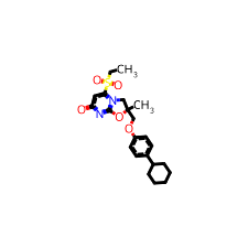 CCS(=O)(=O)c1cc(=O)nc2n1CC(C)(COc1ccc(C3CCCCC3)cc1)O2